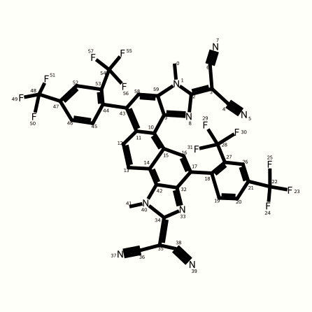 Cn1c(=C(C#N)C#N)nc2c3c(ccc4c3cc(-c3ccc(C(F)(F)F)cc3C(F)(F)F)c3nc(=C(C#N)C#N)n(C)c34)c(-c3ccc(C(F)(F)F)cc3C(F)(F)F)cc21